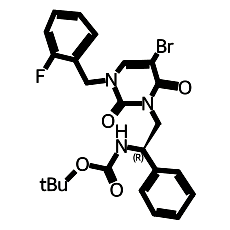 CC(C)(C)OC(=O)N[C@@H](Cn1c(=O)c(Br)cn(Cc2ccccc2F)c1=O)c1ccccc1